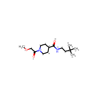 COCC(=O)N1CCC(C(=O)NCCC(C)(C)C)CC1